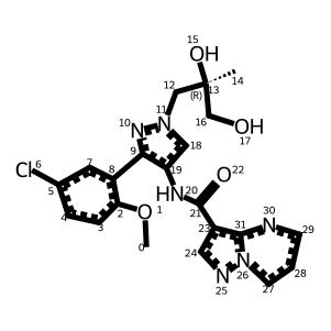 COc1ccc(Cl)cc1-c1nn(C[C@@](C)(O)CO)cc1NC(=O)c1cnn2cccnc12